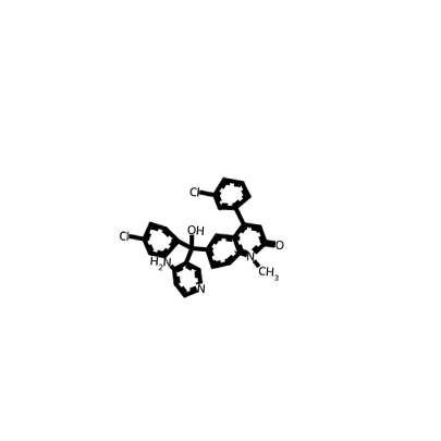 Cn1c(=O)cc(-c2cccc(Cl)c2)c2cc(C(O)(c3ccc(Cl)cc3)c3cnccc3N)ccc21